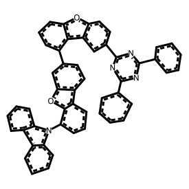 c1ccc(-c2nc(-c3ccccc3)nc(-c3ccc4oc5cccc(-c6ccc7c(c6)oc6c(-n8c9ccccc9c9ccccc98)cccc67)c5c4c3)n2)cc1